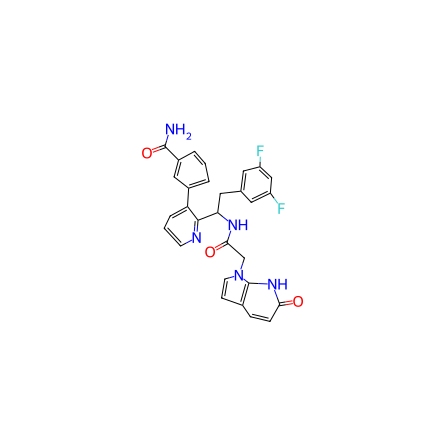 NC(=O)c1cccc(-c2cccnc2C(Cc2cc(F)cc(F)c2)NC(=O)Cn2ccc3ccc(=O)[nH]c32)c1